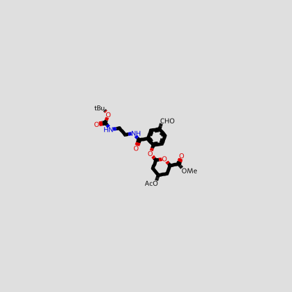 COC(=O)C1CC(OC(C)=O)CC(Oc2ccc(C=O)cc2C(=O)NCCNC(=O)OC(C)(C)C)O1